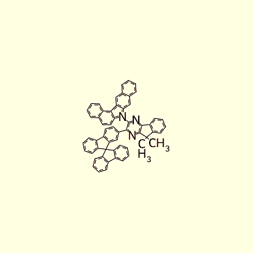 CC1(C)c2ccccc2-c2nc(-n3c4cc5ccccc5cc4c4c5ccccc5ccc43)c(-c3ccc4c(c3)C3(c5ccccc5-c5ccccc53)c3ccccc3-4)nc21